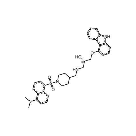 CN(C)c1cccc2c(S(=O)(=O)N3CCC(CNC[C@H](O)COc4cccc5[nH]c6ccccc6c45)CC3)cccc12